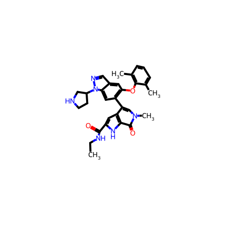 CCNC(=O)c1cc2c(-c3cc4c(cnn4C4CCNC4)cc3Oc3c(C)cccc3C)cn(C)c(=O)c2[nH]1